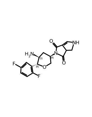 N[C@H]1C[C@@H](N2C(=O)C3=CNCC3C2=O)CO[C@@H]1c1cc(F)ccc1F